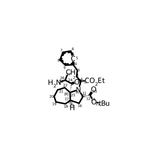 CCOC(=O)[C@H](CCc1ccccc1)N1[C@H](C(=O)OC(C)(C)C)C[C@H]2CCCCC[C@]21C(=O)C(C)N